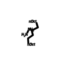 CCCCCCCCCCCCCCCCCCCC.NN